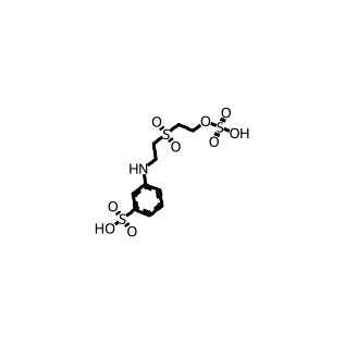 O=S(=O)(CCNc1cccc(S(=O)(=O)O)c1)CCOS(=O)(=O)O